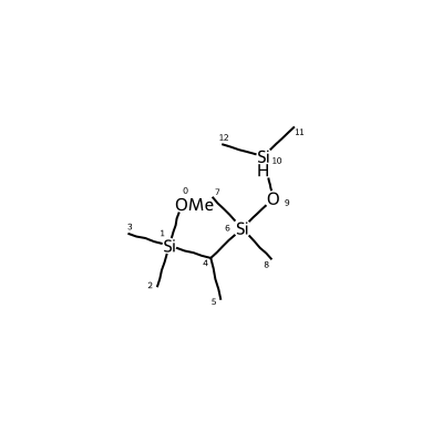 CO[Si](C)(C)C(C)[Si](C)(C)O[SiH](C)C